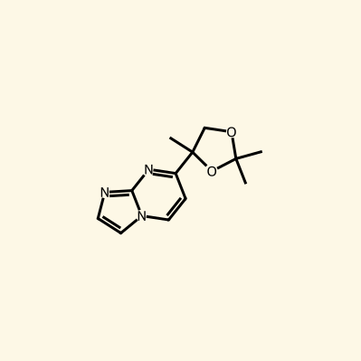 CC1(C)OCC(C)(c2ccn3ccnc3n2)O1